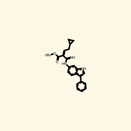 CCCCOC(=O)/C(=C/CC1CC1)C(=N)Nc1ccc2c(-c3ccccc3)c[nH]c2c1